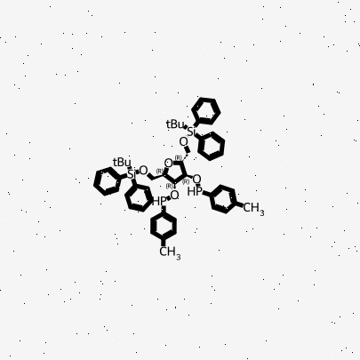 Cc1ccc(PO[C@H]2[C@H](OPc3ccc(C)cc3)[C@@H](CO[Si](c3ccccc3)(c3ccccc3)C(C)(C)C)O[C@@H]2CO[Si](c2ccccc2)(c2ccccc2)C(C)(C)C)cc1